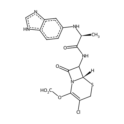 C[C@H](Nc1ccc2[nH]cnc2c1)C(=O)NC1C(=O)N2C(OC(=O)O)=C(Cl)CS[C@@H]12